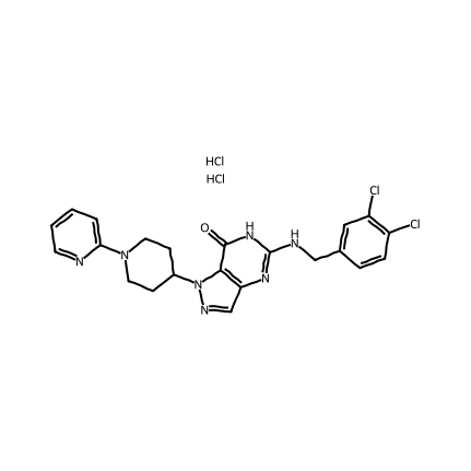 Cl.Cl.O=c1[nH]c(NCc2ccc(Cl)c(Cl)c2)nc2cnn(C3CCN(c4ccccn4)CC3)c12